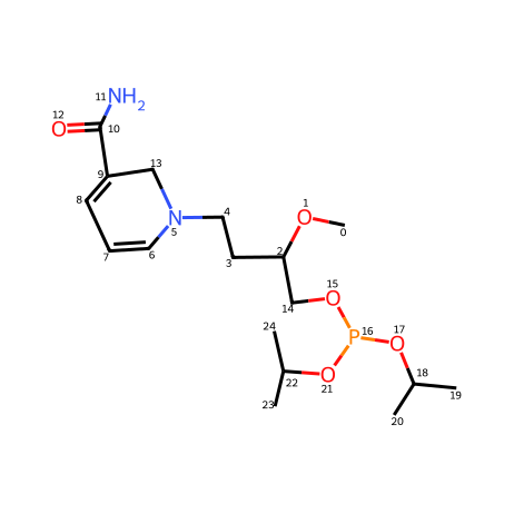 COC(CCN1C=CC=C(C(N)=O)C1)COP(OC(C)C)OC(C)C